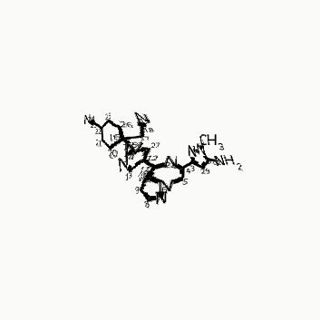 Cn1nc(-c2cn3nccc3c(-c3cnn(C4(CC#N)CCC(C#N)CC4)c3)n2)cc1N